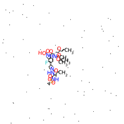 C=CC1CC1(NC(=O)N1CCC(c2ccc3c(c2F)CN(C(=O)O)C3C(=O)[C@H](CCC(=O)/C=C/C)NC(=O)OC(C)(C)C)C1)C(=O)NS(=O)(=O)C1CC1